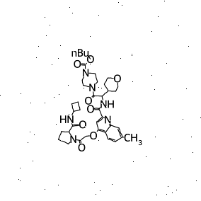 CCCCOC(=O)N1CCN(C(=O)C(NC(=O)c2cc(OCC(=O)N3CCCC3C(=O)NC3CCC3)c3ccc(C)cc3n2)C2CCOCC2)CC1